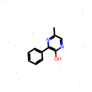 Cc1cnc(O)c(-c2ccccc2)n1